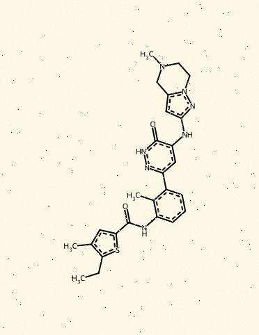 CCc1sc(C(=O)Nc2cccc(-c3cc(Nc4cc5n(n4)CCN(C)C5)c(=O)[nH]n3)c2C)cc1C